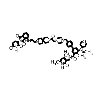 CCN(c1cc(-c2ccc(CN3CCN(CC(=O)N4CCC5(CCN(CCNc6cccc7c6C(=O)N(C6CCC(=O)NC6=O)C7=O)CC5)CC4)CC3)cc2)cc(C(=O)NCc2c(C)cc(C)[nH]c2=O)c1C)C1CCOCC1